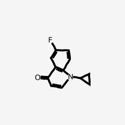 O=c1ccn(C2CC2)c2ccc(F)cc12